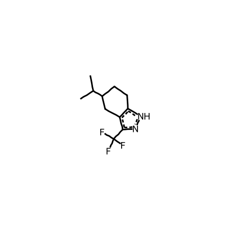 CC(C)C1CCc2[nH]nc(C(F)(F)F)c2C1